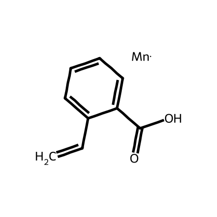 C=Cc1ccccc1C(=O)O.[Mn]